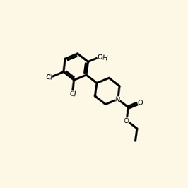 CCOC(=O)N1CCC(c2c(O)ccc(Cl)c2Cl)CC1